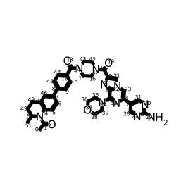 CC(=O)N1c2ccc(-c3ccc(C(=O)N4CCN(C(=O)c5cn6cc(-c7cnc(N)nc7)nc(N7CCOCC7)c6n5)CC4)cc3)cc2CCC1C